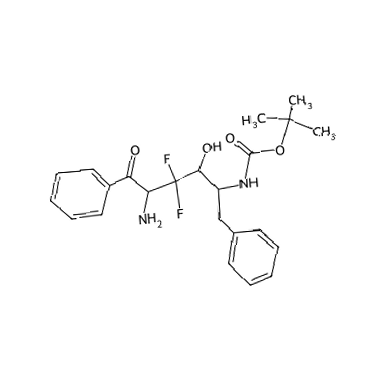 CC(C)(C)OC(=O)NC(Cc1ccccc1)C(O)C(F)(F)C(N)C(=O)c1ccccc1